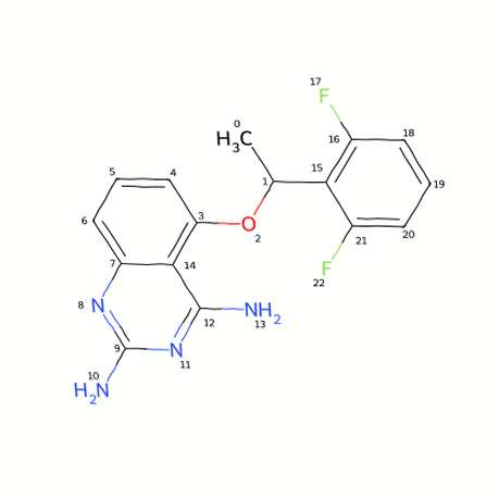 CC(Oc1cccc2nc(N)nc(N)c12)c1c(F)cccc1F